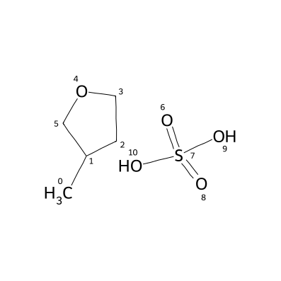 CC1CCOC1.O=S(=O)(O)O